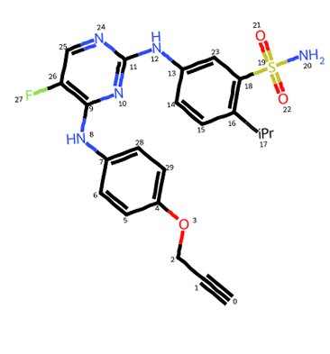 C#CCOc1ccc(Nc2nc(Nc3ccc(C(C)C)c(S(N)(=O)=O)c3)ncc2F)cc1